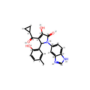 Cc1ccc(O)c(C2C(C(=O)C3CC3)=C(O)C(=O)N2c2ccc3[nH]cnc3c2)c1